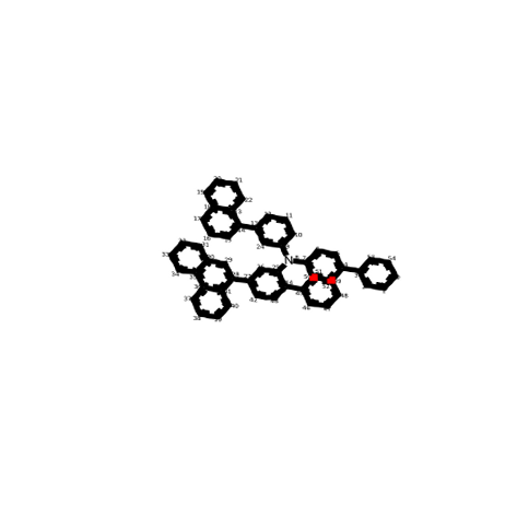 c1ccc(-c2ccc(N(c3cccc(-c4cccc5ccccc45)c3)c3cc(-c4cc5ccccc5c5ccccc45)ccc3-c3ccccc3)cc2)cc1